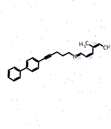 C\C=C(C)/C=C\C=N\CCCC#Cc1ccc(-c2ccccc2)cc1